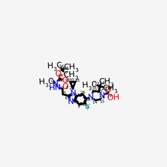 CN(NC(=O)Cc1nc2cc(F)c(N3CCN(C(=O)O)C(C(C)(C)C)C3)cc2n1C1CC1)C(=O)OC(C)(C)C